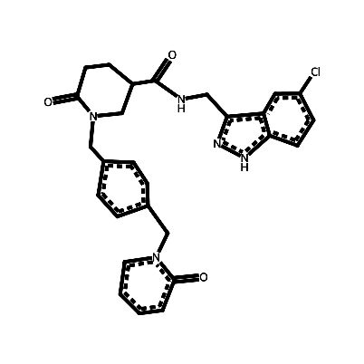 O=C(NCc1n[nH]c2ccc(Cl)cc12)C1CCC(=O)N(Cc2ccc(Cn3ccccc3=O)cc2)C1